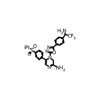 CC(C)S(=O)(=O)c1ccc(C2=CN=C(N)CN2c2nnc(-c3ccc(C(N)C(F)(F)F)cc3)o2)cc1